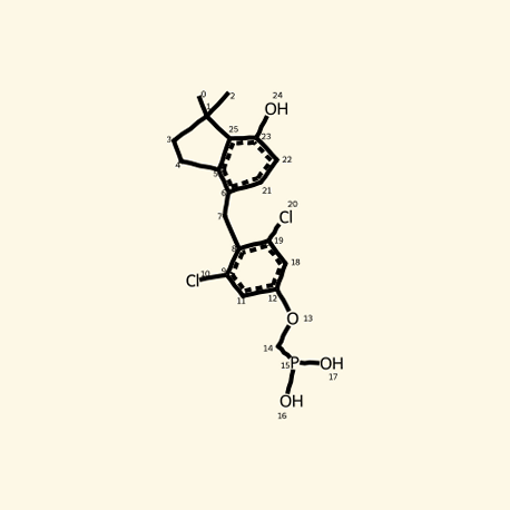 CC1(C)CCc2c(Cc3c(Cl)cc(OCP(O)O)cc3Cl)ccc(O)c21